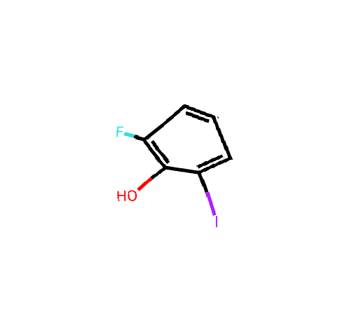 Oc1c(F)c[c]cc1I